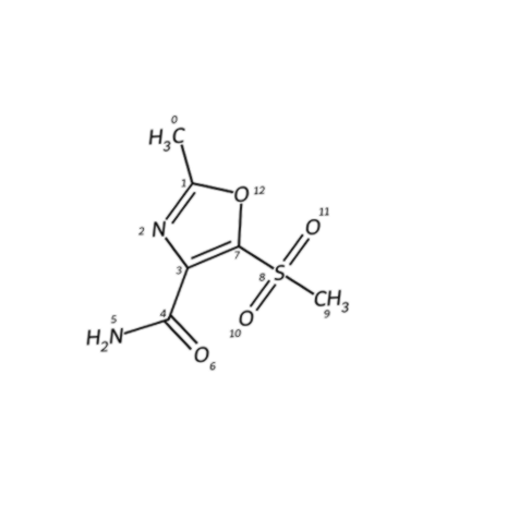 Cc1nc(C(N)=O)c(S(C)(=O)=O)o1